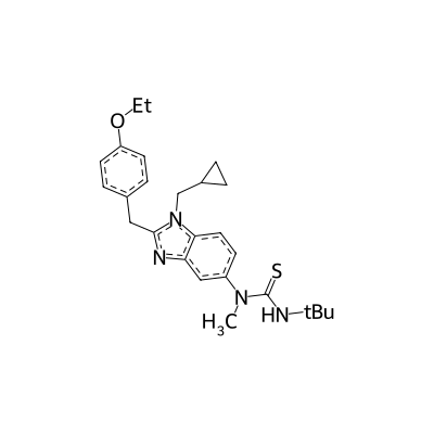 CCOc1ccc(Cc2nc3cc(N(C)C(=S)NC(C)(C)C)ccc3n2CC2CC2)cc1